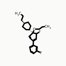 CCCOC1([C@H]2CC[C@H](CCC)CC2)C=CC(c2cccc(F)c2)=CC1F